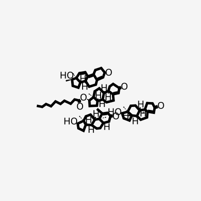 CC1=CC(=O)C[C@@H]2CC[C@H]3[C@@H]4CC[C@H](O)[C@@]4(C)CC[C@@H]3[C@@]12C.CCCCCCCCCC(=O)O[C@H]1CC[C@H]2[C@@H]3CCC4=CC(=O)CC[C@@H]4[C@H]3CC[C@]12C.C[C@]1(O)CC[C@H]2[C@@H]3CCC4=CC(=O)CCC4=C3C=C[C@@]21C.C[C@]12CC[C@H]3[C@@H](CCC4=CC(=O)CC[C@@H]43)[C@@H]1CC[C@@H]2O